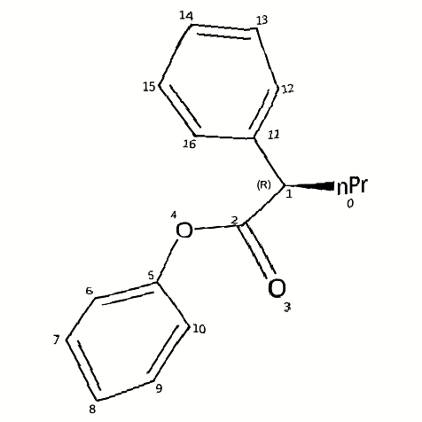 CCC[C@@H](C(=O)Oc1ccccc1)c1ccccc1